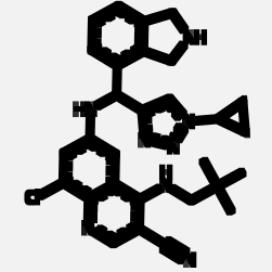 CC(C)(C)CNc1c(C#N)cnc2c(Cl)cc(NC(c3cn(C4CC4)nn3)c3cccc4c3CNC4)cc12